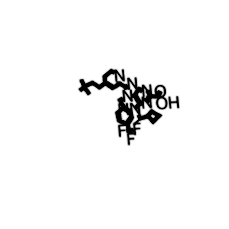 C[C@@H](Nc1nc(C(=O)O)nc2nc(C3=NCCC(CCC(C)(C)C)=C3)n(Cc3ccc(C(F)(F)F)cc3)c12)C1CCC1